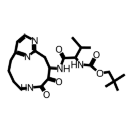 CC(C)C(NC(=O)OCC(C)(C)C)C(=O)NC1Cc2nccc(n2)CCCCNC(=O)C1=O